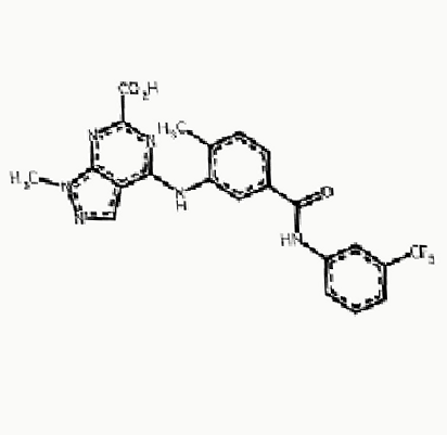 Cc1ccc(C(=O)Nc2cccc(C(F)(F)F)c2)cc1Nc1nc(C(=O)O)nc2c1cnn2C